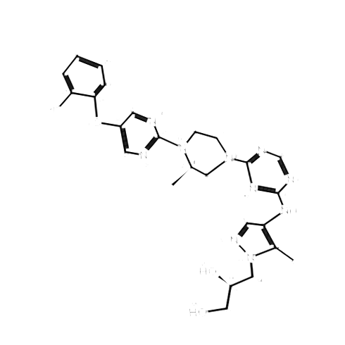 Cc1c(Nc2ncnc(N3CCN(c4ncc(Sc5ccccc5F)cn4)[C@H](C)C3)n2)cnn1C[C@H](O)CO